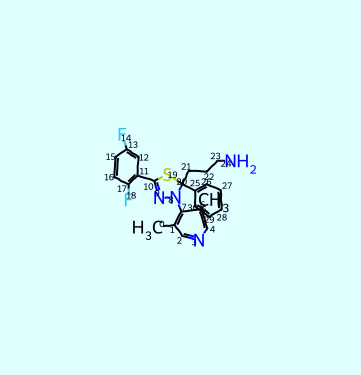 Cc1cncc(C)c1N1N=C(c2cc(F)ccc2F)SC1(CCCN)c1ccccc1